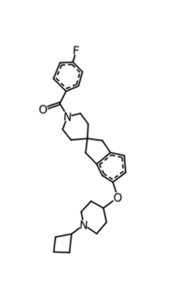 O=C(c1ccc(F)cc1)N1CCC2(CC1)Cc1ccc(OC3CCN(C4CCC4)CC3)cc1C2